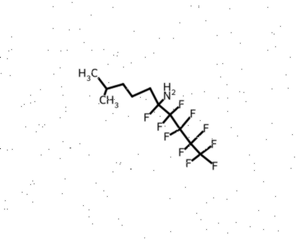 CC(C)CCCC(N)(F)C(F)(F)C(F)(F)C(F)(F)C(F)(F)F